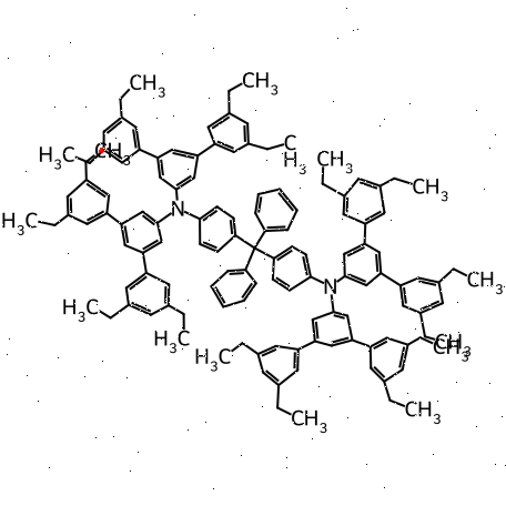 CCc1cc(CC)cc(-c2cc(-c3cc(CC)cc(CC)c3)cc(N(c3ccc(C(c4ccccc4)(c4ccccc4)c4ccc(N(c5cc(-c6cc(CC)cc(CC)c6)cc(-c6cc(CC)cc(CC)c6)c5)c5cc(-c6cc(CC)cc(CC)c6)cc(-c6cc(CC)cc(CC)c6)c5)cc4)cc3)c3cc(-c4cc(CC)cc(CC)c4)cc(-c4cc(CC)cc(CC)c4)c3)c2)c1